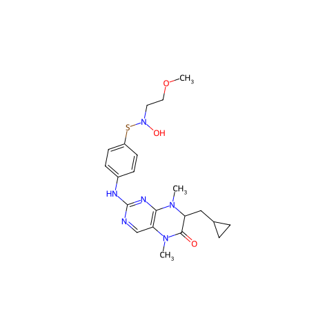 COCCN(O)Sc1ccc(Nc2ncc3c(n2)N(C)C(CC2CC2)C(=O)N3C)cc1